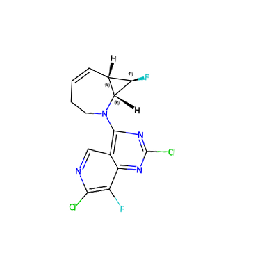 Fc1c(Cl)ncc2c(N3CCC=C[C@@H]4[C@@H](F)[C@@H]43)nc(Cl)nc12